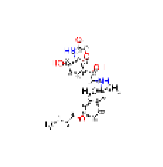 CCCCOc1ccc(CC(C)(C)NCC(O)c2ccc(O)c3c2OCC(=O)N3)cc1